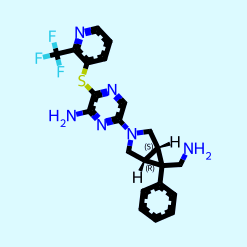 NCC1(c2ccccc2)[C@@H]2CN(c3cnc(Sc4cccnc4C(F)(F)F)c(N)n3)C[C@@H]21